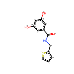 O=C(NCc1cccs1)c1cc(O)cc(O)c1